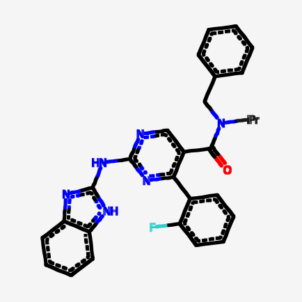 CC(C)N(Cc1ccccc1)C(=O)c1cnc(Nc2nc3ccccc3[nH]2)nc1-c1ccccc1F